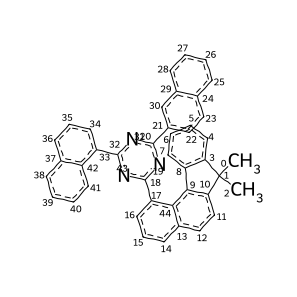 CC1(C)c2ccccc2-c2c1ccc1cccc(-c3nc(-c4ccc5ccccc5c4)nc(-c4cccc5ccccc45)n3)c21